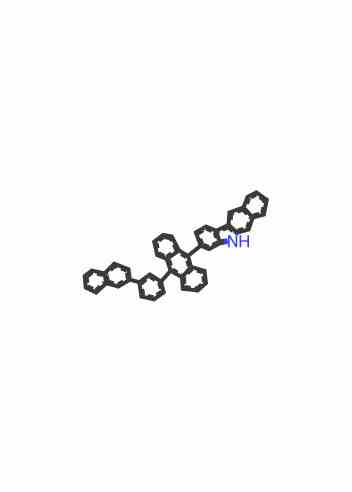 c1cc(-c2ccc3ccccc3c2)cc(-c2c3ccccc3c(-c3ccc4c(c3)[nH]c3cc5ccccc5cc34)c3ccccc23)c1